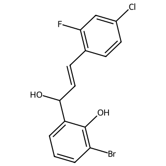 Oc1c(Br)cccc1C(O)C=Cc1ccc(Cl)cc1F